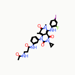 CC(=O)NCCC(=O)Nc1cccc(-n2c(=O)n(C3CC3)c(=O)c3c(Nc4ccc(I)cc4F)n(C)c(=O)c(C)c32)c1